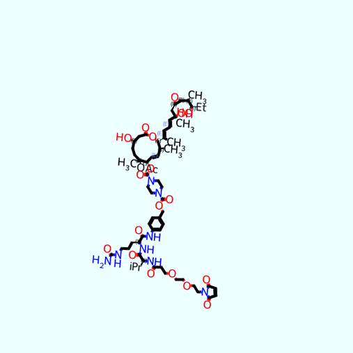 CC[C@H](O)[C@@H](C)[C@H]1O[C@@H]1CC(C)(O)/C=C/C=C(\C)[C@H]1OC(=O)C[C@H](O)CC[C@@](C)(OC(C)=O)[C@@H](OC(=O)N2CCN(C(=O)OCc3ccc(NC(=O)[C@H](CCCNC(N)=O)NC(=O)[C@@H](NC(=O)CCOCCOCCN4C(=O)C=CC4=O)C(C)C)cc3)CC2)/C=C/[C@@H]1C